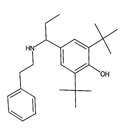 CCC(NCCc1ccccc1)c1cc(C(C)(C)C)c(O)c(C(C)(C)C)c1